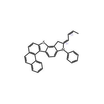 C/C=C\C=C1/Cc2c(ccc3c2sc2ccc4ccc5ccccc5c4c23)N1c1ccccc1